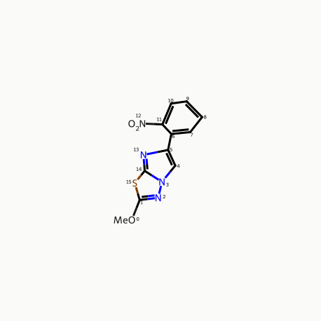 COc1nn2cc(-c3ccccc3[N+](=O)[O-])nc2s1